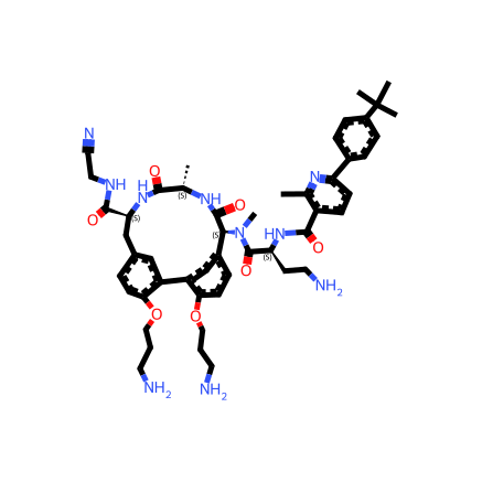 Cc1nc(-c2ccc(C(C)(C)C)cc2)ccc1C(=O)N[C@@H](CCN)C(=O)N(C)[C@@H]1C(=O)N[C@@H](C)C(=O)N[C@H](C(=O)NCC#N)Cc2ccc(OCCCN)c(c2)-c2cc1ccc2OCCCN